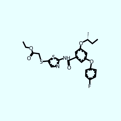 CCOC(=O)CSc1cnc(NC(=O)c2cc(Oc3ccc(F)cc3)cc(O[C@H](C)CC)c2)s1